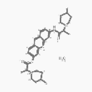 CC1CCN(C(C)C(=O)Nc2ccc3cc4ccc(NC(=O)C(C)N5CCC(C)CC5)cc4nc3c2)CC1.O